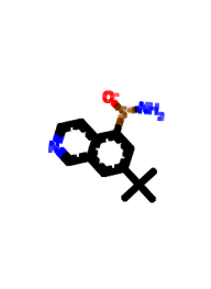 CC(C)(C)c1cc([S+](N)[O-])c2ccncc2c1